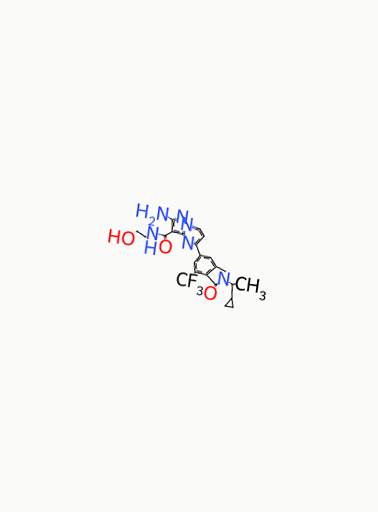 C[C@@H](C1CC1)N1Cc2cc(-c3ccn4nc(N)c(C(=O)NCCO)c4n3)cc(C(F)(F)F)c2C1=O